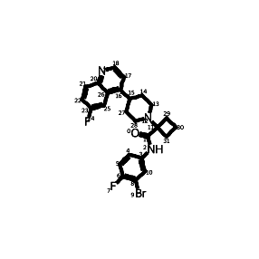 O=C(Nc1ccc(F)c(Br)c1)C1(N2CCC(c3ccnc4ccc(F)cc34)CC2)CCC1